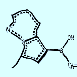 Cc1cc(B(O)O)c2cccnn12